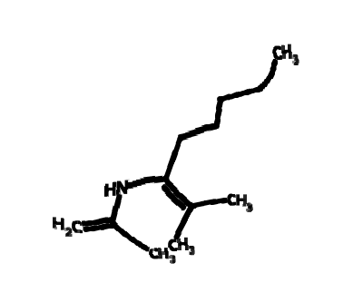 C=C(C)NC(CCCCC)=C(C)C